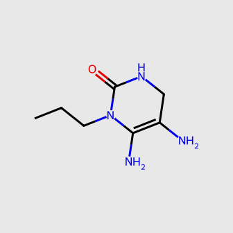 CCCN1C(=O)NCC(N)=C1N